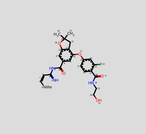 CN/C=C\C(=N)NC(=O)c1cc(Oc2ccc(C(=O)NCCO)c(F)c2)c2c(c1)OC(C)(C)C2